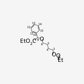 CCOOCCCCOC(C(=O)OCC)c1ccccc1